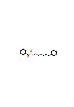 COc1cccc(Cl)c1C(=O)[PH](=O)CCCCCCCc1ccccc1